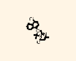 Cc1cc(=O)n(C(C)(C)C)c(COc2ccc(Cl)c3ccccc23)n1